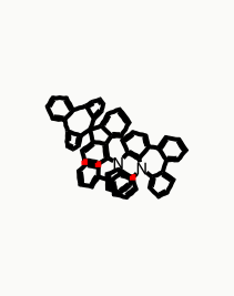 c1ccc(-c2ccccc2N(c2cccc3c2-c2ccccc2C32c3ccccc3-c3ccccc3-c3ccccc32)c2cccc3c2N(c2ccccc2)c2ccccc2-c2ccccc2-3)cc1